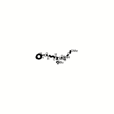 COCCOCCNS(=O)(=O)NC(=O)OC[C@H](CO[Si](C)(C)C(C)(C)C)NC(=O)CCCNC(=O)OC[C@@H]1[C@@H]2CCC#CCC[C@@H]21